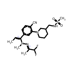 C/C=C(/c1ccc(C#N)c(N2CCCC(CNS(C)(=O)=O)C2)c1)N(C)/N=C(\C)C(F)F